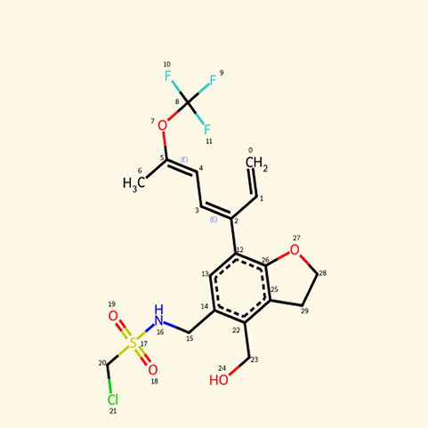 C=C/C(=C\C=C(/C)OC(F)(F)F)c1cc(CNS(=O)(=O)CCl)c(CO)c2c1OCC2